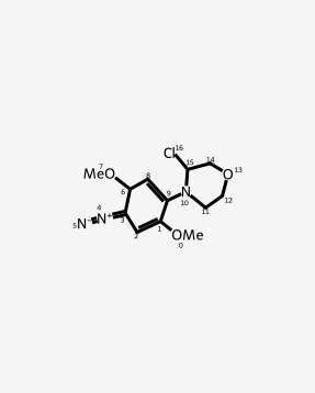 COC1=CC(=[N+]=[N-])C(OC)C=C1N1CCOCC1Cl